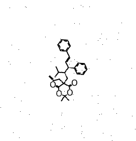 C=CCC1(C[C@@H](C(C)C)[C@@H](/C=C/c2ccccc2)c2ccccc2)C(=O)OC(C)(C)OC1=O